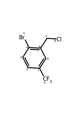 FC(F)(F)c1ccc(Br)c(CCl)c1